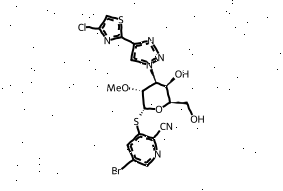 CO[C@@H]1[C@@H](n2cc(-c3nc(Cl)cs3)nn2)[C@@H](O)[C@@H](CO)O[C@@H]1Sc1cc(Br)cnc1C#N